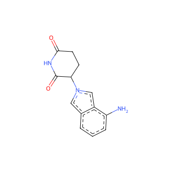 Nc1cccc2cn(C3CCC(=O)NC3=O)cc12